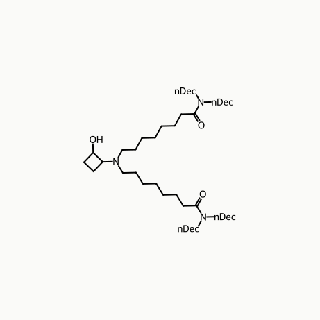 CCCCCCCCCCN(CCCCCCCCCC)C(=O)CCCCCCCN(CCCCCCCC(=O)N(CCCCCCCCCC)CCCCCCCCCC)C1CCC1O